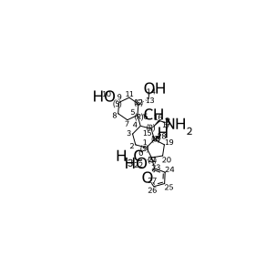 C[C@]12CCC([C@@]3(C)CC[C@H](O)C[C@@H]3CO)[C@@H](CN)[C@@H]1CC[C@@]2(O)c1ccco1